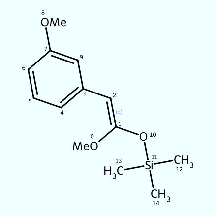 CO/C(=C\c1cccc(OC)c1)O[Si](C)(C)C